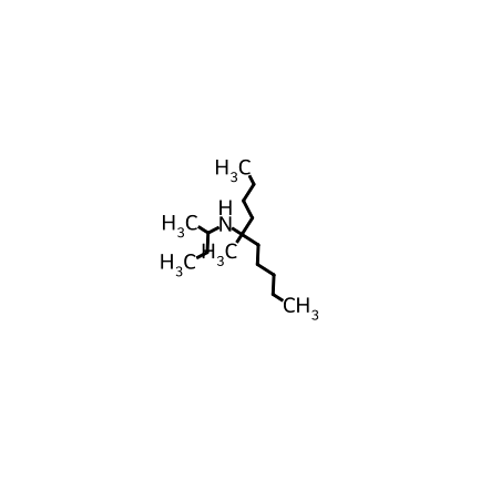 CCCCCC(C)(CCCC)NC(C)CC